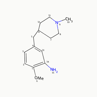 COc1ccc(CC2CCN(C)CC2)cc1N